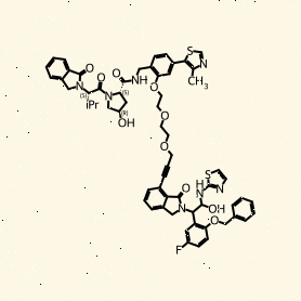 Cc1ncsc1-c1ccc(CNC(=O)[C@@H]2C[C@@H](O)CN2C(=O)[C@H](C(C)C)N2Cc3ccccc3C2=O)c(OCCOCCOCC#Cc2cccc3c2C(=O)N(C(c2cc(F)ccc2OCc2ccccc2)C(O)Nc2nccs2)C3)c1